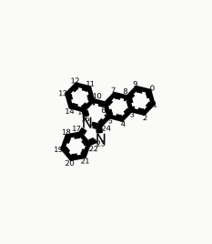 c1ccc2cc3c(cc2c1)c1ccccc1n1c2ccccc2nc31